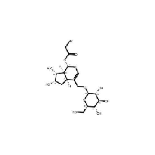 CC(C)CC(=O)O[C@@H]1OC=C(CO[C@@H]2O[C@H](CO)[C@@H](O)[C@H](O)[C@H]2O)[C@H]2C[C@H](O)[C@H](C)[C@@H]12